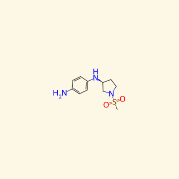 CS(=O)(=O)N1CC[C@H](Nc2ccc(N)cc2)C1